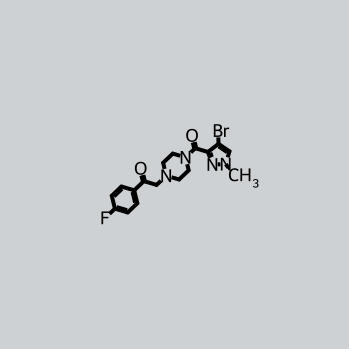 Cn1cc(Br)c(C(=O)N2CCN(CC(=O)c3ccc(F)cc3)CC2)n1